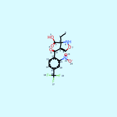 CCC1(C(=O)O)NOC=C1C(=O)c1ccc(C(F)(F)F)cc1[N+](=O)[O-]